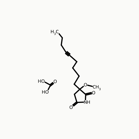 CCCC#CCCCCC1(OC)CC(=O)NC1=O.O=C(O)O